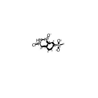 CS(=O)(=O)c1ccc2c(c1)=[N+]([O-])NN(Cl)C=2